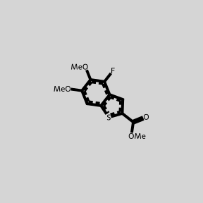 COC(=O)c1cc2c(F)c(OC)c(OC)cc2s1